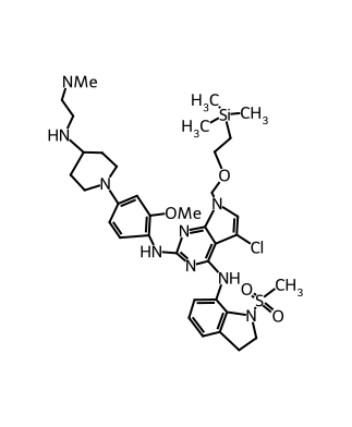 CNCCNC1CCN(c2ccc(Nc3nc(Nc4cccc5c4N(S(C)(=O)=O)CC5)c4c(Cl)cn(COCC[Si](C)(C)C)c4n3)c(OC)c2)CC1